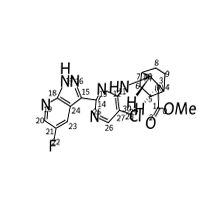 COC(=O)[C@@H]1C2CCC(CC2)[C@H]1Nc1nc(-c2n[nH]c3ncc(F)cc23)ncc1Cl